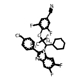 CC(C)(Oc1c(F)cc(C#N)cc1F)C(C1CCCCC1)n1c(-c2ccc(Cl)cc2)nc2cc(F)c(F)cc21